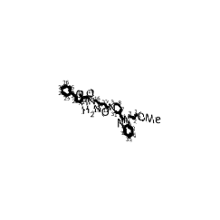 COCCCn1c(C2CCCN(C(=O)CC(N)CNC(=O)c3ccc(-c4ccccc4)o3)C2)nc2ccccc21